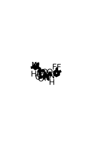 Cc1cc(CC2(C)COc3c(cn(C)c3C(=O)Nc3ccc(C)c(C(F)F)c3)S(=O)(=O)N2)n(C)n1